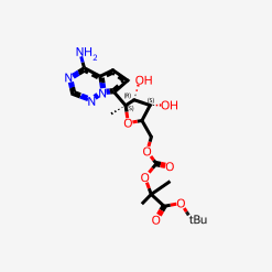 CC(C)(C)OC(=O)C(C)(C)OC(=O)OCC1O[C@@](C)(c2ccc3c(N)ncnn23)[C@H](O)[C@@H]1O